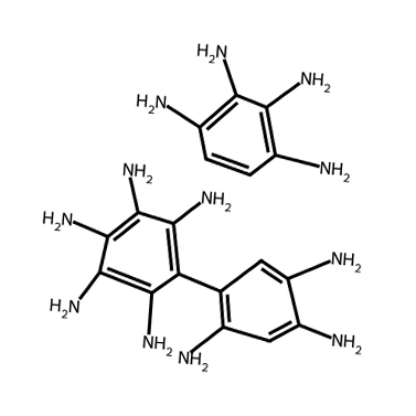 Nc1cc(N)c(-c2c(N)c(N)c(N)c(N)c2N)cc1N.Nc1ccc(N)c(N)c1N